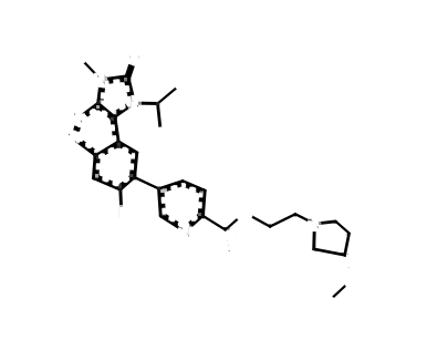 CO[C@H]1CCN(CCO[C@H](C)c2ccc(-c3cc4c(cc3F)nnc3c4n(C(C)C)c(=O)n3C)cn2)C1